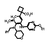 C=N/C(=C(\C=C(/C)C1(C(=O)O)CCC1)Nc1cnc(OCC)nc1)N(CC(C)C)C1CCOCC1